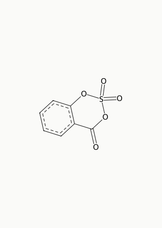 O=C1OS(=O)(=O)Oc2ccccc21